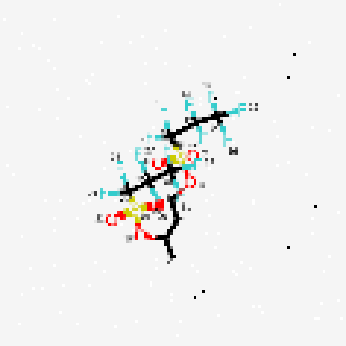 CC(CCOS(=O)(=O)C(F)(F)C(F)(F)C(F)(F)F)OS(=O)(=O)C(F)(F)C(F)(F)C(F)(F)F